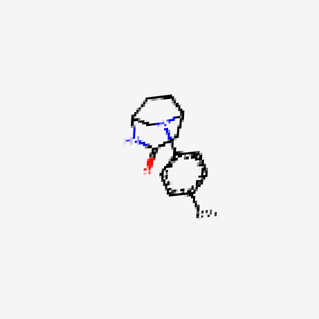 COc1ccc(N2CC3CCC2CC(=O)N3)cc1